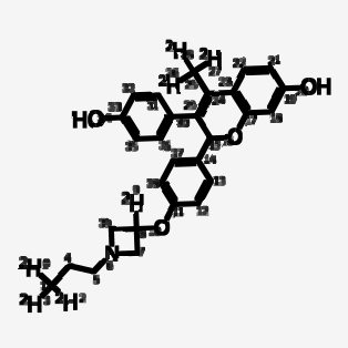 [2H]C([2H])([2H])CCN1CC([2H])(Oc2ccc(C3Oc4cc(O)ccc4C(C([2H])([2H])[2H])=C3c3ccc(O)cc3)cc2)C1